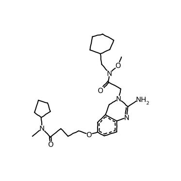 CON(CC1CCCCC1)C(=O)CN1Cc2cc(OCCCC(=O)N(C)C3CCCC3)ccc2N=C1N